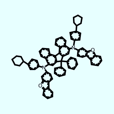 c1ccc(C2(c3ccccc3)c3cc(N(c4ccc(C5CCCCC5)cc4)c4ccc5c(c4)oc4ccccc45)c4ccccc4c3-c3c2cc(N(c2ccc(C4CCCCC4)cc2)c2ccc4c(c2)oc2ccccc24)c2ccccc32)cc1